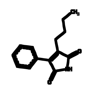 CCCCC1=C(c2ccccc2)C(=O)NC1=O